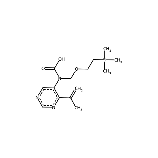 C=C(C)c1ncncc1N(COCC[Si](C)(C)C)C(=O)O